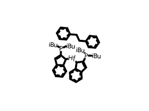 CCC(C)P(C1=Cc2ccccc2[CH]1[Hf][CH]1C(P(C(C)CC)C(C)CC)=Cc2ccccc21)C(C)CC.c1ccc(CCc2ccccc2)cc1